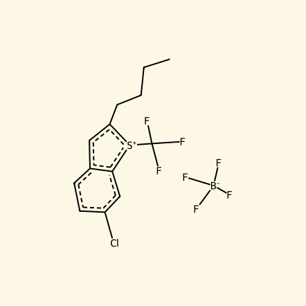 CCCCc1cc2ccc(Cl)cc2[s+]1C(F)(F)F.F[B-](F)(F)F